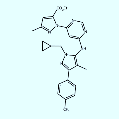 CCOC(=O)c1cc(C)nn1-c1cc(Nc2c(C)c(-c3ccc(C(F)(F)F)cc3)nn2CC2CC2)ncn1